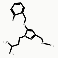 CNCc1cc(OCc2ccccc2F)n(CCC(C)C)n1